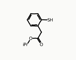 CC(C)OC(=O)Cc1ccccc1S